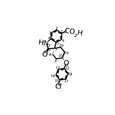 O=C(O)c1ccc2c(c1)[C@]1(CC[C@@H](Oc3ccc(Cl)cc3)CC1)C(=O)N2